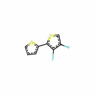 Fc1csc(-c2cccs2)c1F